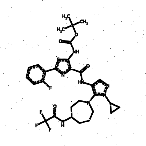 CC(C)(C)OC(=O)Nc1sc(-c2ccccc2F)nc1C(=O)Nc1cnn(C2CC2)c1N1CCCC(NC(=O)C(F)(F)F)CC1